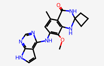 COc1c(Nc2ncnc3[nH]ccc23)cc(C)c2c1NC1(CCC1)NC2=O